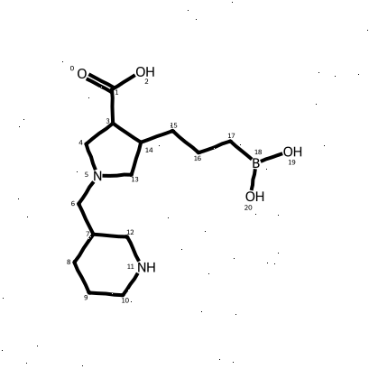 O=C(O)C1CN(CC2CCCNC2)CC1CCCB(O)O